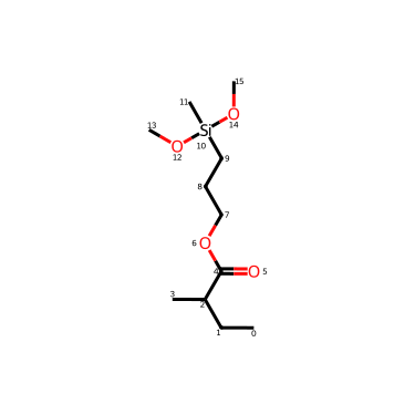 CCC(C)C(=O)OCCC[Si](C)(OC)OC